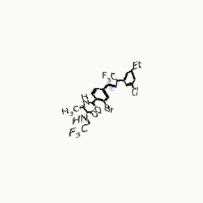 CCc1cc(Cl)cc(C(/C=C/c2ccc(C(=O)N[C@H](C)C(=O)NCC(F)(F)F)c(Br)c2)C(F)(F)F)c1